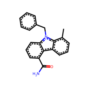 Cc1cc[c]c2c3c(C(N)=O)cccc3n(Cc3ccccc3)c12